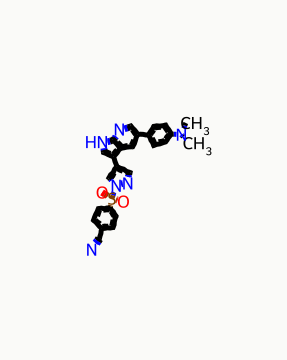 CN(C)c1ccc(-c2cnc3[nH]cc(-c4cnn(S(=O)(=O)c5ccc(C#N)cc5)c4)c3c2)cc1